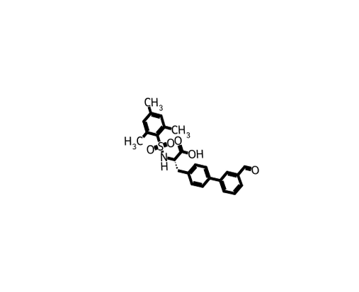 Cc1cc(C)c(S(=O)(=O)N[C@@H](Cc2ccc(-c3cccc(C=O)c3)cc2)C(=O)O)c(C)c1